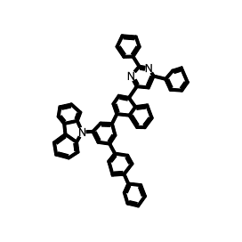 c1ccc(-c2ccc(-c3cc(-c4ccc(-c5cc(-c6ccccc6)nc(-c6ccccc6)n5)c5ccccc45)cc(-n4c5ccccc5c5ccccc54)c3)cc2)cc1